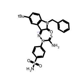 CC(C)(C)c1ccc2c(c1)/C(=N/N(C(N)=S)c1ccc(S(N)(=O)=O)cc1)C(=O)N2Cc1ccccc1